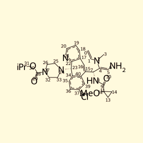 C=CN(C)/C(=C\N)[C@H](NC(=O)C1(OC)CC1)C1=Cc2cccnc2[C@@H](N2CCN(C(=O)OC(C)C)CC2)c2ccc(Cl)cc21